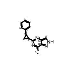 Clc1nc(C2CC2c2ccccc2)nc2c[nH]nc12